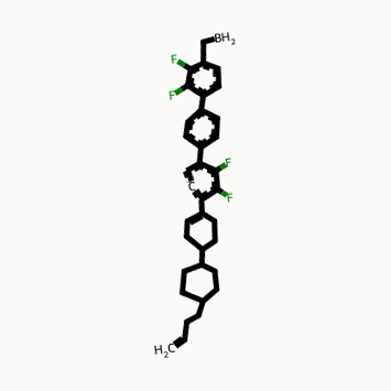 BCc1ccc(-c2ccc(-c3ccc(C4=CCC(C5CCC(CCC=C)CC5)CC4)c(F)c3F)cc2)c(F)c1F